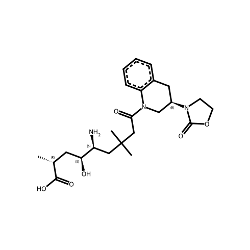 C[C@H](C[C@H](O)[C@@H](N)CC(C)(C)CC(=O)N1C[C@H](N2CCOC2=O)Cc2ccccc21)C(=O)O